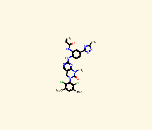 C=CC(=O)Nc1cc(C2=NC(C)N=N2)ccc1Nc1ncc2c(n1)N(C)C(=O)N(c1c(Cl)c(OC)cc(OC)c1Cl)C2